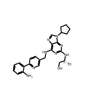 CC[C@H](CO)Nc1nc(NCc2ccc(-c3ccccc3N)nc2)c2ncn(C3CCCC3)c2n1